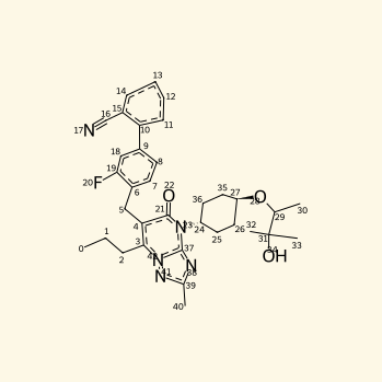 CCCc1c(Cc2ccc(-c3ccccc3C#N)cc2F)c(=O)n([C@H]2CC[C@H](OC(C)C(C)(C)O)CC2)c2nc(C)nn12